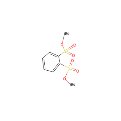 CCC(C)OS(=O)(=O)c1ccccc1S(=O)(=O)OC(C)CC